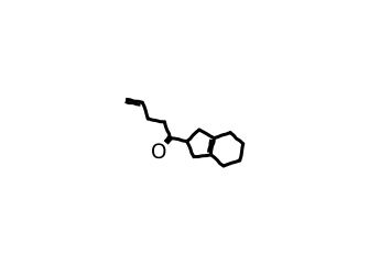 C=CCCC(=O)C1CC2=C(CCCC2)C1